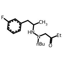 CCCCN(CC(=O)CC)NC(C)Cc1cccc(F)c1